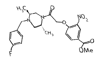 COC(=O)c1ccc(OCC(=O)N2C[C@H](C)N(Cc3ccc(F)cc3)C[C@H]2C)c([N+](=O)[O-])c1